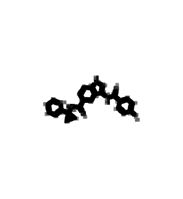 O=C(Nc1n[nH]c2ccc(C(=O)NC3(c4ccccn4)CC3)cc12)c1ccc(F)cc1